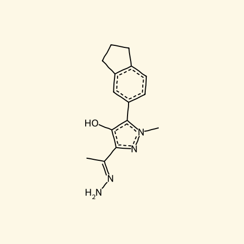 CC(=NN)c1nn(C)c(-c2ccc3c(c2)CCC3)c1O